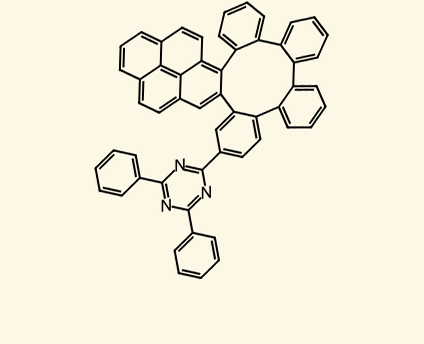 c1ccc(-c2nc(-c3ccccc3)nc(-c3ccc4c5ccccc5c5ccccc5c5ccccc5c5c(cc6ccc7cccc8ccc5c6c78)c4c3)n2)cc1